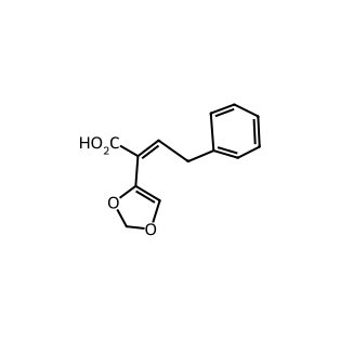 O=C(O)/C(=C/Cc1ccccc1)C1=COCO1